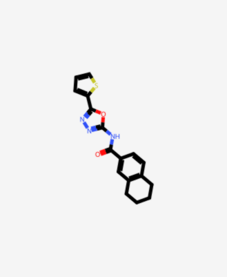 O=C(Nc1nnc(-c2cccs2)o1)c1ccc2c(c1)CCCC2